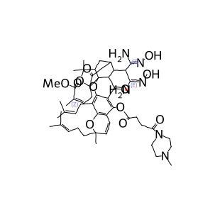 COC(=O)/C(C)=C\CC12OC(C)(C)C3CC(C1=O)C(C(/C(N)=N/O)/C(N)=N\O)C1C(=O)c4c(OC(=O)CCC(=O)N5CCN(C)CC5)c5c(c(CC=C(C)C)c4OC132)OC(C)(CCC=C(C)C)C=C5